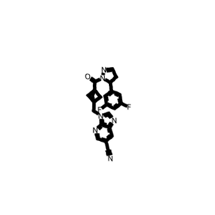 N#Cc1cnc2c(c1)ncn2CC12CC(C(=O)N3N=CCC3c3cc(F)cc(F)c3)(C1)C2